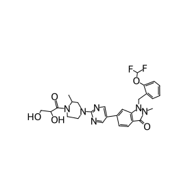 CC1CN(c2ncc(-c3ccc4c(=O)n(C)n(Cc5ccccc5OC(F)F)c4c3)cn2)CCN1C(=O)C(O)CO